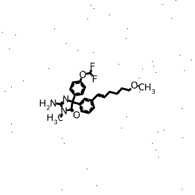 COCCCC/C=C/c1cccc(C2(c3ccc(OC(F)F)cc3)N=C(N)N(C)C2=O)c1